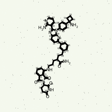 NC(=O)C(CCCNc1cccc2c1C(=O)N(C1CCC(=O)NC1=O)C2=O)CCc1cccc(-c2ccc3nc(-c4cccnc4N)n(-c4ccc(C5(N)CCC5)cc4)c3n2)c1